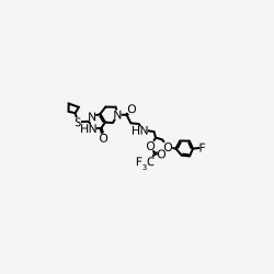 O=C(CCNCC(COc1ccc(F)cc1)OC(=O)C(F)(F)F)N1CCc2nc(SC3CCC3)[nH]c(=O)c2C1